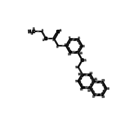 CCOC(=O)Cc1cccc(OCc2ccc3ccccc3c2)c1